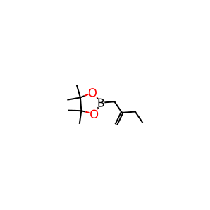 C=C(CC)CB1OC(C)(C)C(C)(C)O1